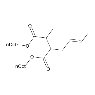 CC=CCC(C(=O)OCCCCCCCC)C(C)C(=O)OCCCCCCCC